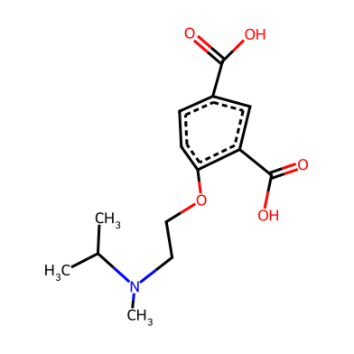 CC(C)N(C)CCOc1ccc(C(=O)O)cc1C(=O)O